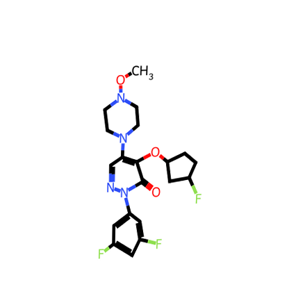 CON1CCN(c2cnn(-c3cc(F)cc(F)c3)c(=O)c2OC2CCC(F)C2)CC1